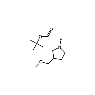 CC(C)(C)OC=O.COCC1CCN(F)C1